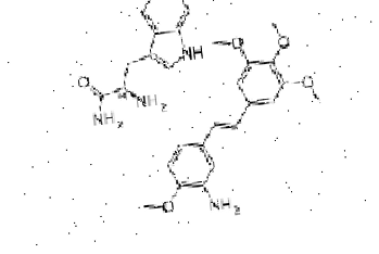 COc1ccc(C=Cc2cc(OC)c(OC)c(OC)c2)cc1N.NC(=O)[C@H](N)Cc1c[nH]c2ccccc12